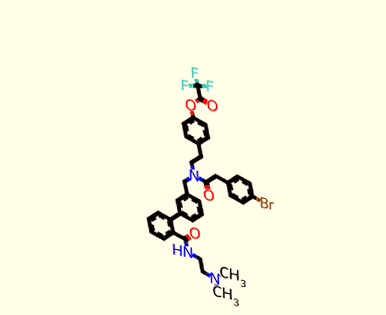 CN(C)CCNC(=O)c1ccccc1-c1cccc(CN(CCc2ccc(OC(=O)C(F)(F)F)cc2)C(=O)Cc2ccc(Br)cc2)c1